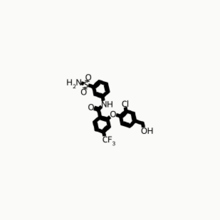 NS(=O)(=O)c1cccc(NC(=O)c2ccc(C(F)(F)F)cc2Oc2ccc(CO)cc2Cl)c1